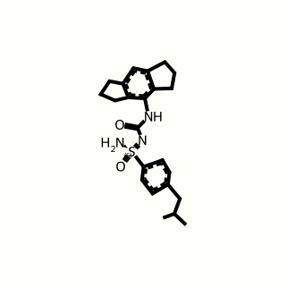 CC(C)Cc1ccc([S@@](N)(=O)=NC(=O)Nc2c3c(cc4c2CCC4)CCC3)cc1